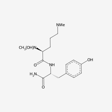 CNCCC[C@@H](C(=O)N[C@H](Cc1ccc(O)cc1)C(N)=O)N(C)O